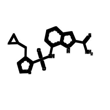 NC(=S)c1cc2cccc(NS(=O)(=O)c3sccc3CC3CC3)c2[nH]1